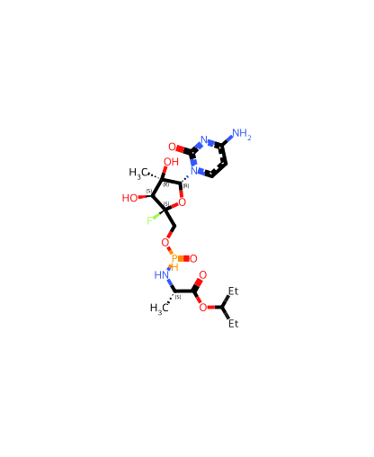 CCC(CC)OC(=O)[C@H](C)N[PH](=O)OC[C@@]1(F)O[C@@H](n2ccc(N)nc2=O)[C@](C)(O)[C@@H]1O